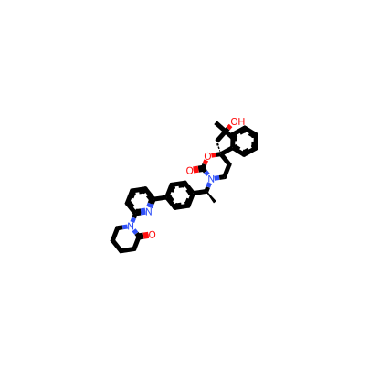 C[C@@H](c1ccc(-c2cccc(N3CCCCC3=O)n2)cc1)N1CC[C@](CC(C)(C)O)(c2ccccc2)OC1=O